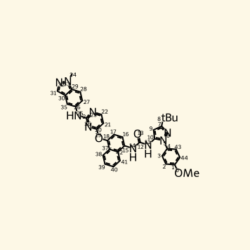 COc1ccc(-n2nc(C(C)(C)C)cc2NC(=O)Nc2ccc(Oc3ccnc(Nc4ccc5c(cnn5C)c4)n3)c3ccccc23)cc1